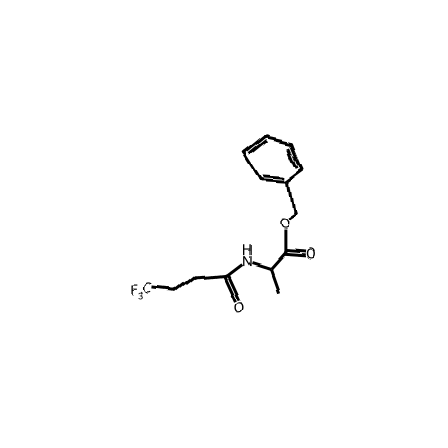 CC(NC(=O)CCC(F)(F)F)C(=O)OCc1ccccc1